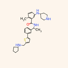 Cc1ccc(NC2CCNCC2)cc1C(=O)NC(C)c1cccc(-c2ccc(CNC3CCCC3)s2)c1